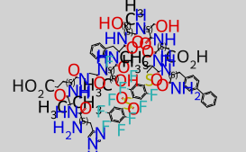 C[C@@H](O)[C@H](NC(=O)CNC(=O)[C@H](CCC(=O)O)NC(=O)C(C)(C)NC(=O)[C@@H](N)Cc1c[nH]cn1)C(=O)NC(C)(Cc1ccccc1F)C(=O)N[C@H](C(=O)N[C@@H](CO)C(=O)N[C@@H](CC(=O)O)C(=O)NC(C)(CSc1c(F)c(F)c(S(=O)(=O)c2c(F)c(F)c(F)c(F)c2F)c(F)c1F)C(=O)N[C@@H](Cc1ccc(-c2ccccc2)cc1)C(N)=O)[C@@H](C)O